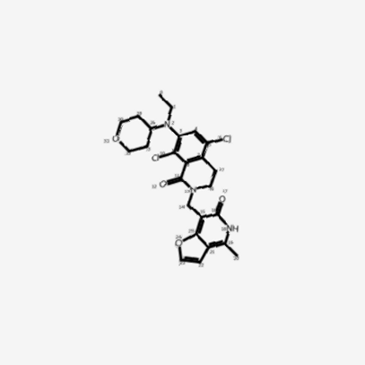 CCN(c1cc(Cl)c2c(c1Cl)C(=O)N(Cc1c(=O)[nH]c(C)c3ccoc13)CC2)C1CCOCC1